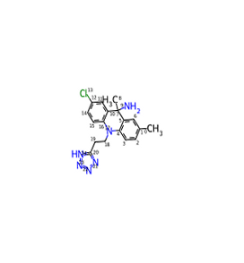 Cc1ccc2c(c1)C(C)(N)c1cc(Cl)ccc1N2CCc1nnn[nH]1